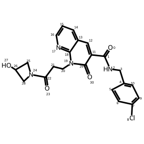 O=C(NCc1ccc(Cl)cc1)c1cc2cccnc2n(CCC(=O)N2CC(O)C2)c1=O